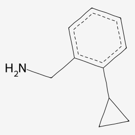 NCc1ccccc1C1CC1